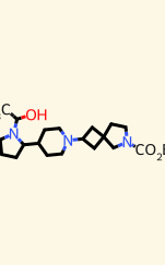 CCOC(=O)N1CCC2(CC(N3CCC(C4CCCN4C(O)C(F)(F)F)CC3)C2)C1